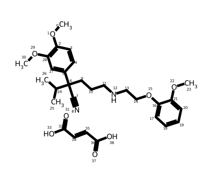 COc1ccc(C(C#N)(CCCNCCOc2ccccc2OC)C(C)C)cc1OC.O=C(O)C=CC(=O)O